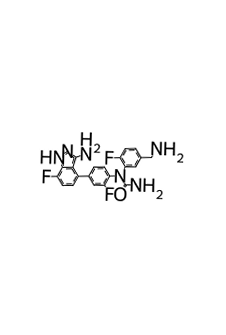 NCc1ccc(F)c(N(C(N)=O)c2ccc(-c3ccc(F)c4[nH]nc(N)c34)cc2F)c1